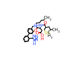 CCCCCN(Cc1ccc(-c2ccccc2-c2nnn[nH]2)cc1)C(=O)C(CC(=O)O)NC(=O)C(CS)CC(C)C